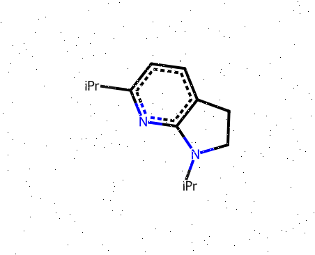 CC(C)c1ccc2c(n1)N(C(C)C)CC2